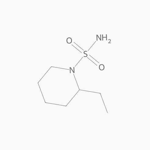 CCC1CCCCN1S(N)(=O)=O